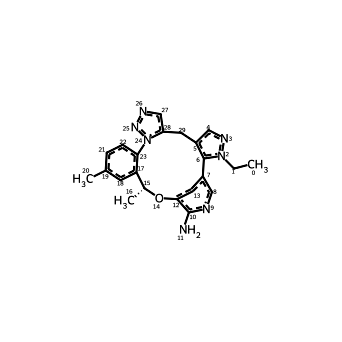 CCn1ncc2c1-c1cnc(N)c(c1)O[C@H](C)c1cc(C)ccc1-n1nncc1C2